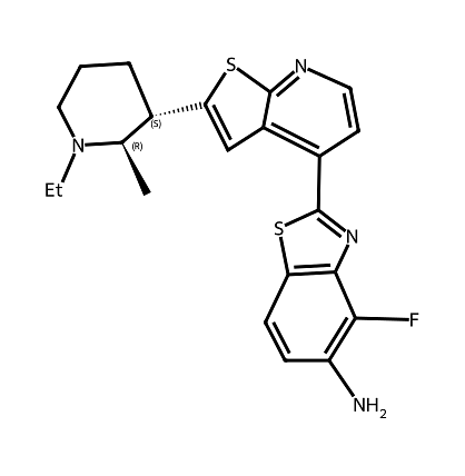 CCN1CCC[C@H](c2cc3c(-c4nc5c(F)c(N)ccc5s4)ccnc3s2)[C@H]1C